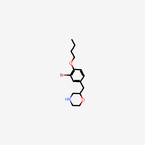 CCCCOc1ccc(CC2CNCCO2)cc1Br